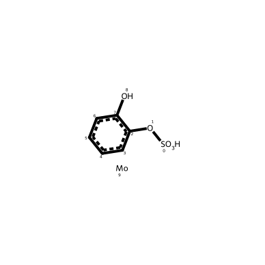 O=S(=O)(O)Oc1ccccc1O.[Mo]